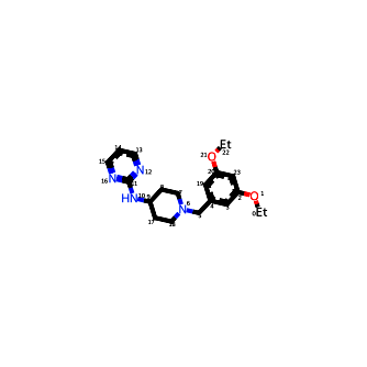 CCOc1cc(CN2CCC(Nc3ncccn3)CC2)cc(OCC)c1